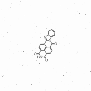 O=C1NC(=O)c2ccc3c4c2c1ccc4c(=O)n1c2ccccc2nc31